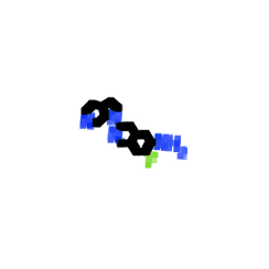 Nc1cc2cc(-n3ccc4ccncc43)ncc2cc1F